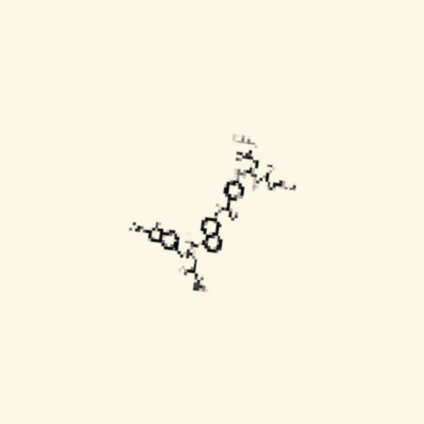 CC(=O)c1cc2cc(CN(CC(=O)OC(C)(C)C)C(=O)c3cccc4cc(OC(=O)c5ccc(N/C(=N\C(=O)OC(C)(C)C)NC(=O)OC(C)(C)C)cc5)ccc34)ccc2s1